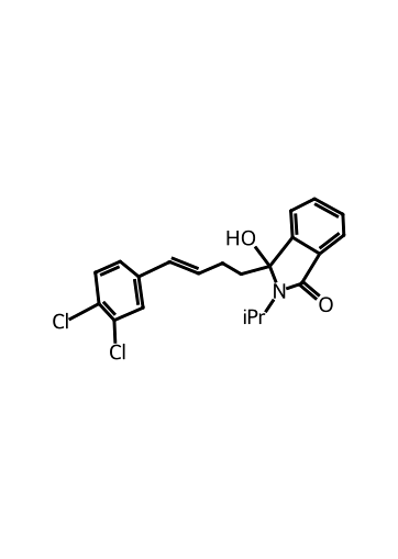 CC(C)N1C(=O)c2ccccc2C1(O)CCC=Cc1ccc(Cl)c(Cl)c1